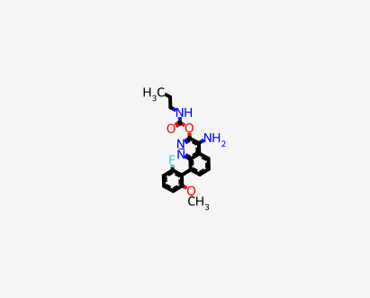 CCCNC(=O)Oc1nnc2c(-c3c(F)cccc3OC)cccc2c1N